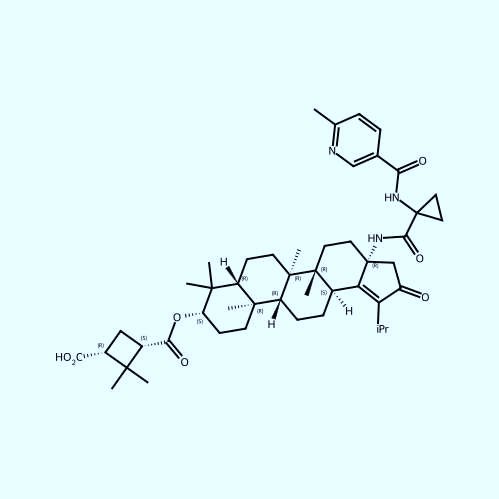 Cc1ccc(C(=O)NC2(C(=O)N[C@@]34CC[C@]5(C)[C@H](CC[C@@H]6[C@@]7(C)CC[C@H](OC(=O)[C@H]8C[C@@H](C(=O)O)C8(C)C)C(C)(C)[C@@H]7CC[C@]65C)C3=C(C(C)C)C(=O)C4)CC2)cn1